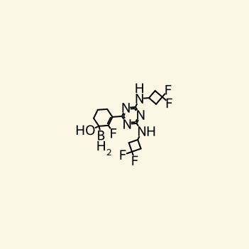 BC1(O)CCCC(c2nc(NC3CC(F)(F)C3)nc(NC3CC(F)(F)C3)n2)=C1F